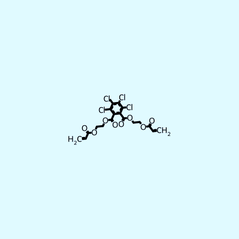 C=CC(=O)OCCOC(=O)c1c(Cl)c(Cl)c(Cl)c(Cl)c1C(=O)OCCOC(=O)C=C